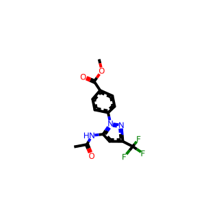 COC(=O)c1ccc(-n2nc(C(F)(F)F)cc2NC(C)=O)cc1